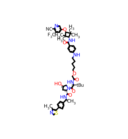 Cc1ncsc1-c1ccc([C@H](C)NC(=O)[C@@H]2C[C@@H](O)CN2C(=O)[C@@H](NC(=O)COCCCCCNc2ccc(C(=O)N[C@H]3C(C)(C)[C@H](Oc4cnc(C#N)c(C(F)(F)F)c4)C3(C)C)cc2)C(C)(C)C)cc1